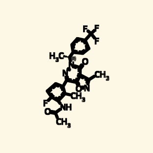 CC(=O)Nc1c(F)ccc(-c2nn([C@H](C)c3ccc(C(F)(F)F)cc3)c(=O)c3c(C)noc23)c1C